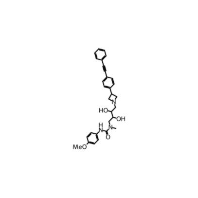 COc1ccc(NC(=O)N(C)CC(O)C(O)CN2CC(c3ccc(C#Cc4ccccc4)cc3)C2)cc1